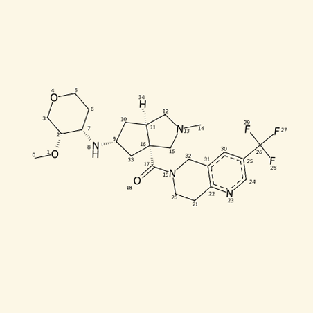 CO[C@@H]1COCC[C@@H]1N[C@@H]1C[C@H]2CN(C)C[C@@]2(C(=O)N2CCc3ncc(C(F)(F)F)cc3C2)C1